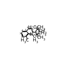 Cc1cccc2ccc(C(C(C)(C)C)C(C)(C)C)nc12